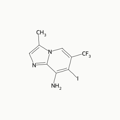 Cc1cnc2c(N)c(I)c(C(F)(F)F)cn12